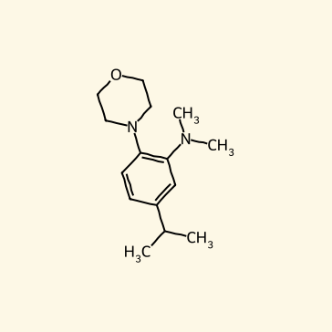 CC(C)c1ccc(N2CCOCC2)c(N(C)C)c1